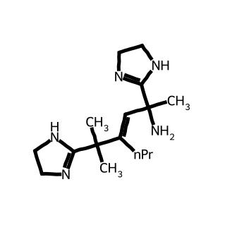 CCC/C(=C\C(C)(N)C1=NCCN1)C(C)(C)C1=NCCN1